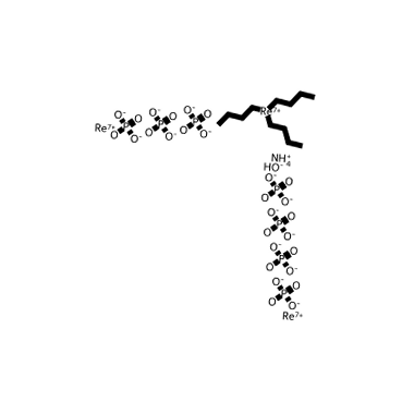 CCC[CH2][Re+7]([CH2]CCC)[CH2]CCC.O=P([O-])([O-])[O-].O=P([O-])([O-])[O-].O=P([O-])([O-])[O-].O=P([O-])([O-])[O-].O=P([O-])([O-])[O-].O=P([O-])([O-])[O-].O=P([O-])([O-])[O-].[NH4+].[OH-].[Re+7].[Re+7]